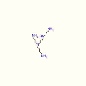 NCCCCN(CCCN)CCCNCCCN